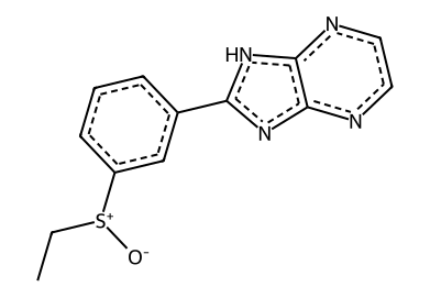 CC[S+]([O-])c1cccc(-c2nc3nccnc3[nH]2)c1